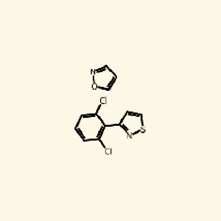 Clc1cccc(Cl)c1-c1ccsn1.c1cnoc1